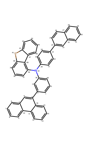 c1cc(-c2cc3ccccc3c3ccccc23)cc(N(c2ccc(-c3ccc4ccccc4c3)cc2)c2cccc3sc4ccccc4c23)c1